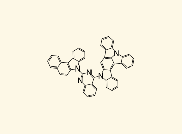 c1ccc2c(c1)ccc1c2c2ccccc2n1-c1nc(-n2c3ccccc3c3c4c5ccccc5n5c6ccccc6c(cc32)c45)c2ccccc2n1